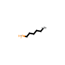 CC(C)CCCCCP